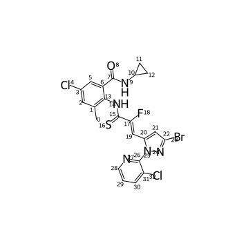 Cc1cc(Cl)cc(C(=O)NC2CC2)c1NC(=S)/C(F)=C/c1cc(Br)nn1-c1ncccc1Cl